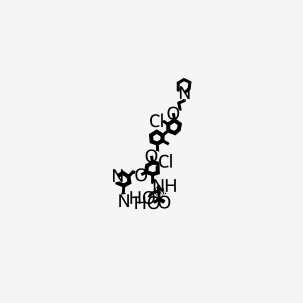 Cc1c(COc2cc(OCc3cncc(C#N)c3)c(CN[C@](C)(CO)C(=O)O)cc2Cl)cccc1-c1cccc(OCCCN2CCCCC2)c1Cl